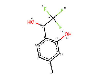 Cc1ccc(C(O)C(F)(F)F)c(O)c1